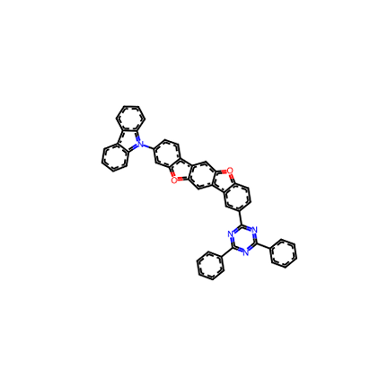 c1ccc(-c2nc(-c3ccccc3)nc(-c3ccc4oc5cc6c(cc5c4c3)oc3cc(-n4c5ccccc5c5ccccc54)ccc36)n2)cc1